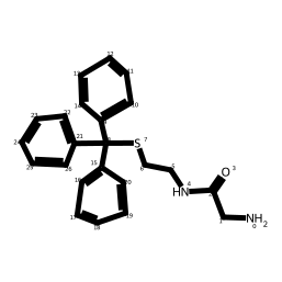 NCC(=O)NCCSC(c1ccccc1)(c1ccccc1)c1ccccc1